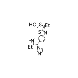 CCC(C(c1ccc2nc(N(CC)C(=O)O)sc2c1)n1ccnc1)N(C)C